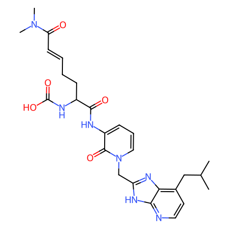 CC(C)Cc1ccnc2[nH]c(Cn3cccc(NC(=O)C(CC/C=C/C(=O)N(C)C)NC(=O)O)c3=O)nc12